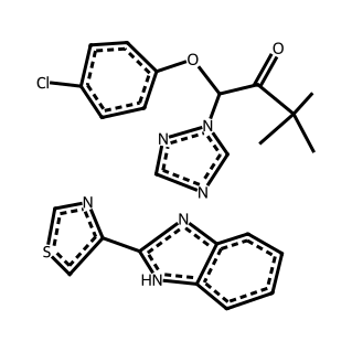 CC(C)(C)C(=O)C(Oc1ccc(Cl)cc1)n1cncn1.c1ccc2[nH]c(-c3cscn3)nc2c1